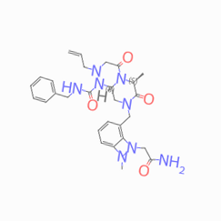 C=CCN1CC(=O)N2[C@@H](C)C(=O)N(Cc3cccc4c3n(CC(N)=O)n4C)C[C@@H]2N1C(=O)NCc1ccccc1